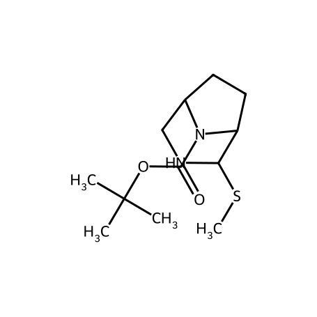 CSC1NCC2CCC1N2C(=O)OC(C)(C)C